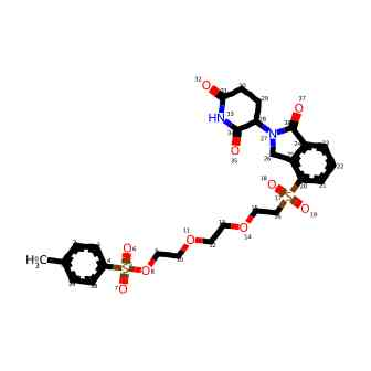 Cc1ccc(S(=O)(=O)OCCOCCOCCS(=O)(=O)c2cccc3c2CN(C2CCC(=O)NC2=O)C3=O)cc1